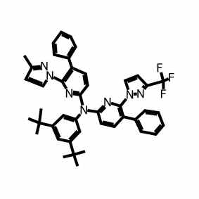 Cc1ccn(-c2nc(N(c3cc(C(C)(C)C)cc(C(C)(C)C)c3)c3ccc(-c4ccccc4)c(-n4ccc(C(F)(F)F)n4)n3)ccc2-c2ccccc2)n1